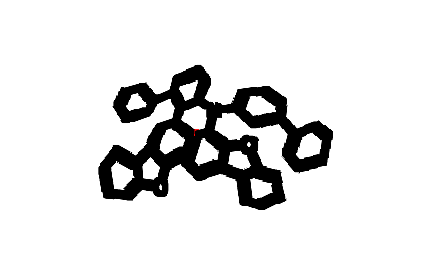 c1ccc(-c2cccc(N(c3cccc(-c4ccccc4)c3-c3ccc4oc5ccccc5c4c3)c3cccc4c3oc3ccccc34)c2)cc1